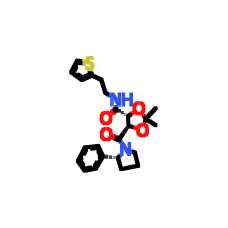 CC1(C)O[C@@H](C(=O)NCCc2cccs2)[C@H](C(=O)N2CCC[C@@H]2c2ccccc2)O1